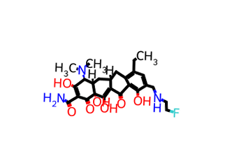 CCc1cc(CNCCF)c(O)c2c1C[C@H]1C[C@H]3[C@H](N(C)C)C(O)=C(C(N)=O)C(=O)[C@@]3(O)C(O)=C1C2=O